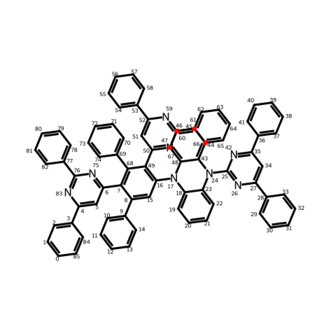 c1ccc(-c2cc(-c3c(-c4ccccc4)cc(N4c5ccccc5N(c5nc(-c6ccccc6)cc(-c6ccccc6)n5)c5ccccc54)c(-c4cc(-c5ccccc5)nc(-c5ccccc5)n4)c3-c3ccccc3)nc(-c3ccccc3)n2)cc1